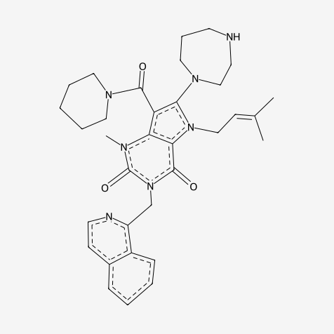 CC(C)=CCn1c(N2CCCNCC2)c(C(=O)N2CCCCC2)c2c1c(=O)n(Cc1nccc3ccccc13)c(=O)n2C